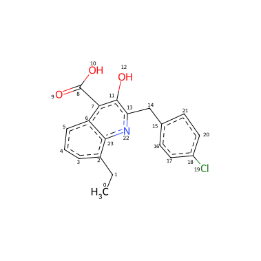 CCc1cccc2c(C(=O)O)c(O)c(Cc3ccc(Cl)cc3)nc12